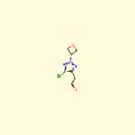 O=CCc1nn(C2COC2)nc1Br